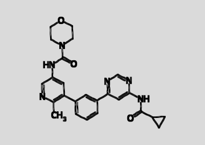 Cc1ncc(NC(=O)N2CCOCC2)cc1-c1cccc(-c2cc(NC(=O)C3CC3)ncn2)c1